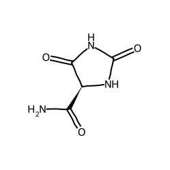 NC(=O)[C@@H]1NC(=O)NC1=O